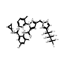 Cc1cccnc1-n1nc(Cn2ncc(C(F)(F)C(F)(F)C(F)(F)F)n2)cc1C(=O)Nc1c(C)cc(I)cc1C(=O)NC1CC1